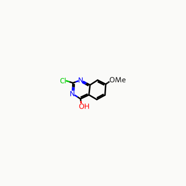 COc1ccc2c(O)nc(Cl)nc2c1